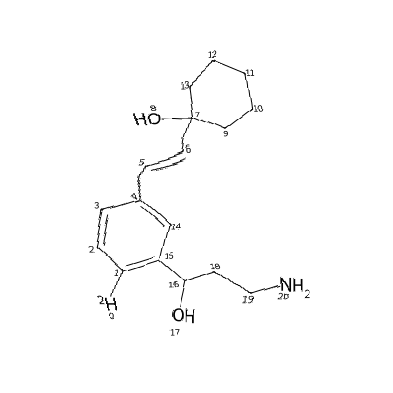 [2H]c1ccc(C=CC2(O)CCCCC2)cc1C(O)CCN